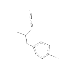 [N-]=[N+]=NC(C=O)Cc1ccc(N=O)cc1